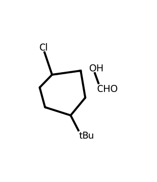 CC(C)(C)C1CCC(Cl)CC1.O=CO